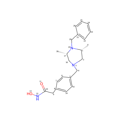 C[C@@H]1CN(Cc2ccc(CC(=O)NO)cc2)C[C@H](C)N1Cc1ccccc1